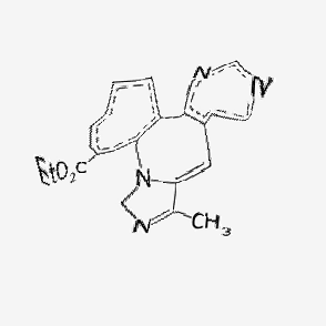 CCOC(=O)c1cccc2c1N1CN=C(C)C1=Cc1cncnc1-2